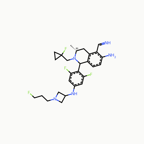 C[C@@H]1Cc2c(ccc(N)c2C=N)C(c2c(F)cc(NC3CN(CCCF)C3)cc2F)N1CC1(F)CC1